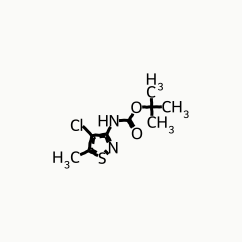 Cc1snc(NC(=O)OC(C)(C)C)c1Cl